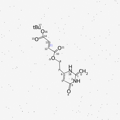 C=C1NC(=O)C=C(CCOC(=O)/C=C/C(=O)OC(C)(C)C)N1